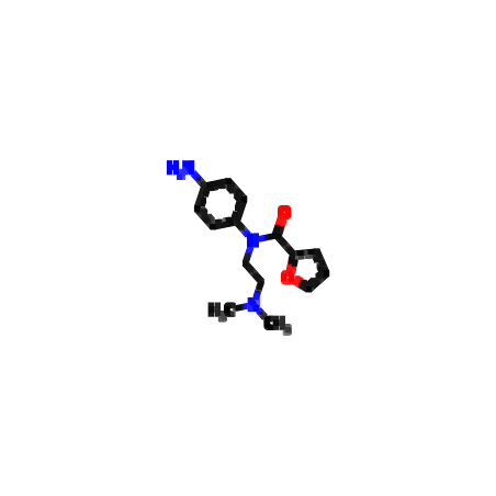 CN(C)CCN(C(=O)c1ccco1)c1ccc(N)cc1